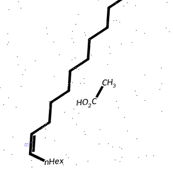 CC(=O)O.CCCCCC/C=C\CCCCCCCCO